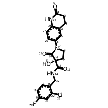 O=C1CCc2cc(N3CC[C@](O)(C(=O)NCc4ccc(F)cc4Cl)C3=O)ccc2N1